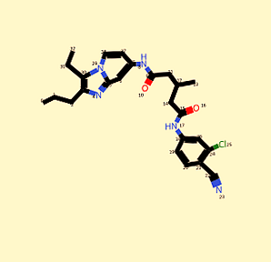 CCCc1nc2cc(NC(=O)CC(C)CC(=O)Nc3ccc(C#N)c(Cl)c3)ccn2c1CC